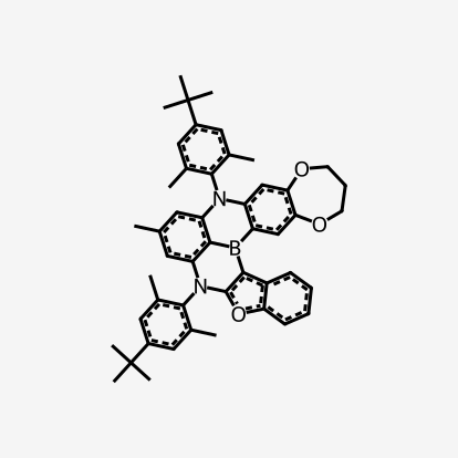 Cc1cc2c3c(c1)N(c1c(C)cc(C(C)(C)C)cc1C)c1oc4ccccc4c1B3c1cc3c(cc1N2c1c(C)cc(C(C)(C)C)cc1C)OCCCO3